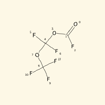 O=C(F)OC(F)(F)OC(F)(F)F